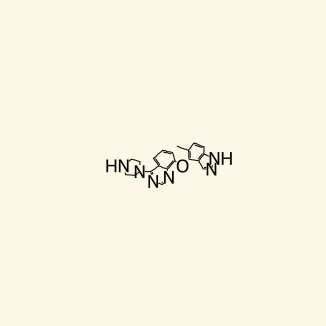 Cc1ccc2[nH]ncc2c1Oc1cccc2c(N3CCNCC3)ncnc12